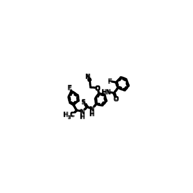 CC(NC(=S)Nc1ccc(NC(=O)c2ccccc2F)c(OCC#N)c1)c1ccc(F)cc1